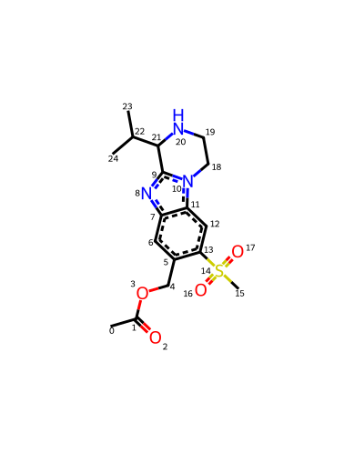 CC(=O)OCc1cc2nc3n(c2cc1S(C)(=O)=O)CCNC3C(C)C